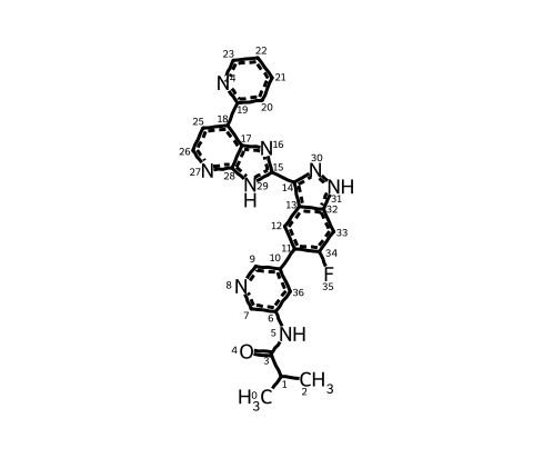 CC(C)C(=O)Nc1cncc(-c2cc3c(-c4nc5c(-c6ccccn6)ccnc5[nH]4)n[nH]c3cc2F)c1